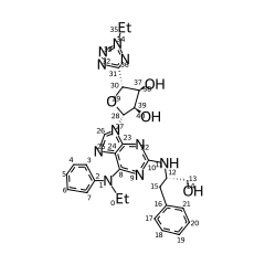 CCN(c1ccccc1)c1nc(N[C@H](CO)Cc2ccccc2)nc2c1ncn2[C@@H]1O[C@H](c2nnn(CC)n2)[C@@H](O)[C@H]1O